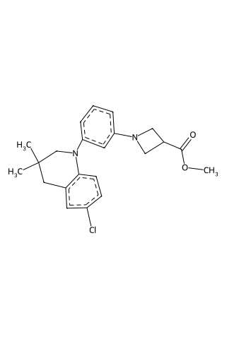 COC(=O)C1CN(c2cccc(N3CC(C)(C)Cc4cc(Cl)ccc43)c2)C1